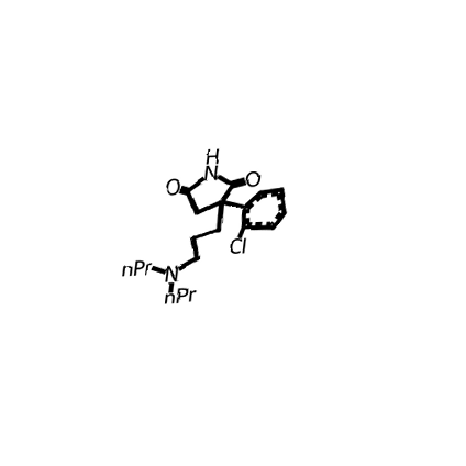 CCCN(CCC)CCCC1(c2ccccc2Cl)CC(=O)NC1=O